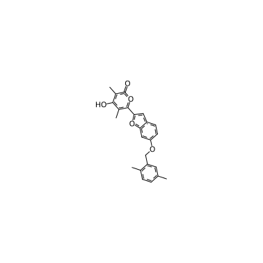 Cc1ccc(C)c(COc2ccc3cc(-c4oc(=O)c(C)c(O)c4C)oc3c2)c1